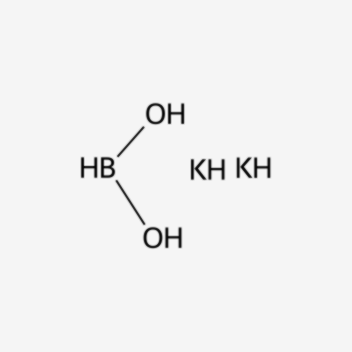 OBO.[KH].[KH]